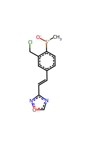 C[S+]([O-])c1ccc(C=Cc2ncon2)cc1CCl